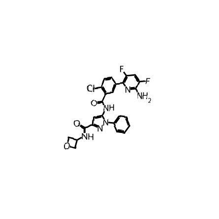 Nc1nc(-c2ccc(Cl)c(C(=O)Nc3cc(C(=O)NC4COC4)nn3-c3ccccc3)c2)c(F)cc1F